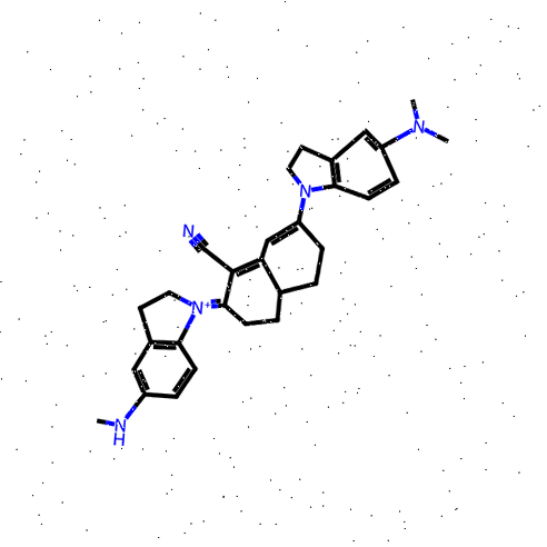 CNc1ccc2c(c1)CC/[N+]2=C1/CCC2CCC(N3CCc4cc(N(C)C)ccc43)=CC2=C1C#N